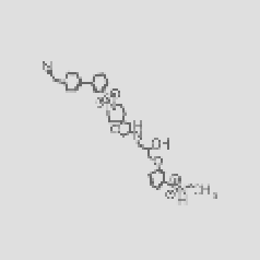 CCNS(=O)(=O)c1cccc(OCC(O)CNC2COC3(CCN(S(=O)(=O)c4cccc(-c5ccc(CC#N)cc5)c4)CC3)C2)c1